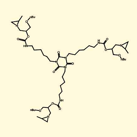 CCCCOCC(CN1CC1C)OC(=O)NCCCCCCn1c(=O)n(CCCCCCNC(=O)OC(COCCCC)CN2CC2C)c(=O)n(CCCCCCNC(=O)OC(COCCCC)CN2CC2C)c1=O